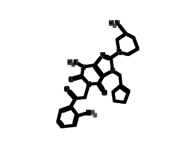 Cn1c(=O)n(CC(=O)c2ccccc2N)c(=O)c2c1nc(N1CCCC(N)C1)n2CC1=CCCC1